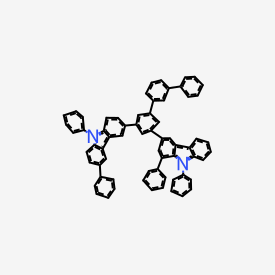 c1ccc(-c2cccc(-c3cc(-c4ccc5c(c4)c4cc(-c6ccccc6)ccc4n5-c4ccccc4)cc(-c4cc(-c5ccccc5)c5c(c4)c4ccccc4n5-c4ccccc4)c3)c2)cc1